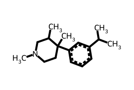 CC(C)c1cccc(C2(C)CCN(C)CC2C)c1